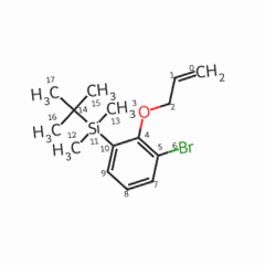 C=CCOc1c(Br)cccc1[Si](C)(C)C(C)(C)C